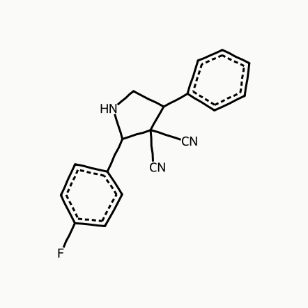 N#CC1(C#N)C(c2ccccc2)CNC1c1ccc(F)cc1